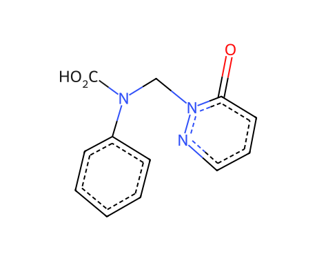 O=C(O)N(Cn1ncccc1=O)c1ccccc1